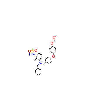 COCOc1ccc(Oc2ccc(CN(Cc3ccccc3)c3cccc(NS(C)(=O)=O)c3C)cc2)cc1